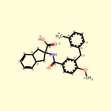 COc1ccc(C(=O)NC2(C(=O)O)CC3C=CC=CC3C2)cc1Cc1cccc(C)c1